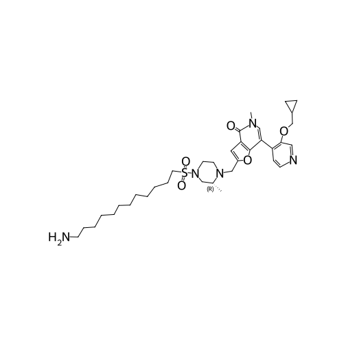 C[C@@H]1CN(S(=O)(=O)CCCCCCCCCCCCN)CCN1Cc1cc2c(=O)n(C)cc(-c3ccncc3OCC3CC3)c2o1